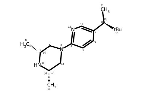 C[C@@H]1CN(c2ccc([C@@H](C)C(C)(C)C)cn2)C[C@H](C)N1